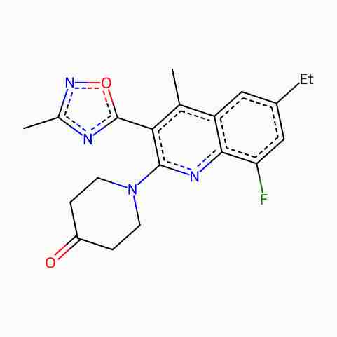 CCc1cc(F)c2nc(N3CCC(=O)CC3)c(-c3nc(C)no3)c(C)c2c1